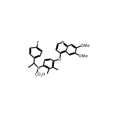 COc1cc2nccc(Oc3ccc(N(C(=O)O)C(C)c4ccc(F)cc4)c(C)c3C)c2cc1OC